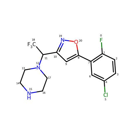 Fc1ccc(Cl)cc1-c1cc(C(N2CCNCC2)C(F)(F)F)no1